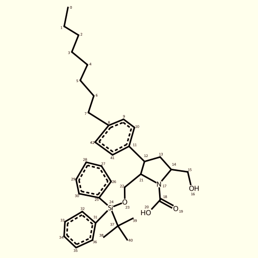 CCCCCCCCc1ccc(C2CC(CO)N(C(=O)O)C2CO[Si](c2ccccc2)(c2ccccc2)C(C)(C)C)cc1